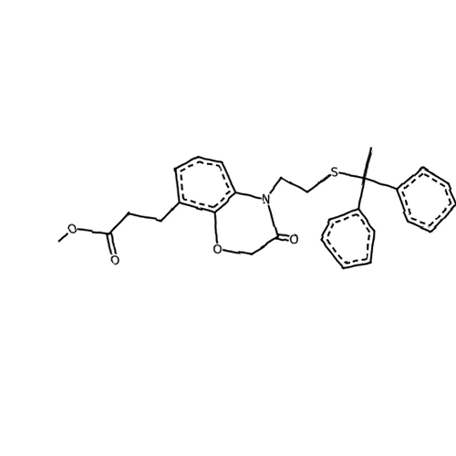 COC(=O)CCc1cccc2c1OCC(=O)N2CCSC(C)(c1ccccc1)c1ccccc1